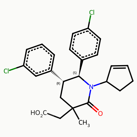 CC1(CC(=O)O)C[C@H](c2cccc(Cl)c2)[C@@H](c2ccc(Cl)cc2)N(C2C=CCC2)C1=O